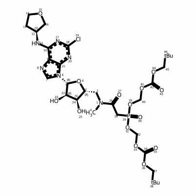 CN(C[C@H]1O[C@@H](n2cnc3c(N[C@H]4CCOC4)nc(Cl)nc32)[C@H](O)[C@@H]1O)C(=O)CP(=O)(OCOC(=O)OCC(C)(C)C)OCOC(=O)OCC(C)(C)C